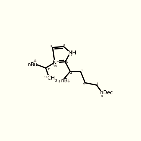 CCCCCCCCCCCCCC(CCCC)c1[nH]cc[n+]1C(C)CCCC